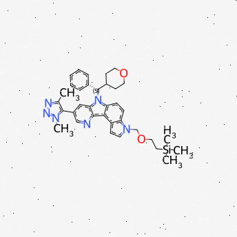 Cc1nnn(C)c1-c1cnc2c3c4ccn(COCC[Si](C)(C)C)c4ccc3n([C@H](c3ccccc3)C3CCOCC3)c2c1